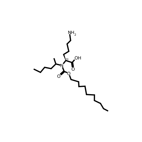 CCCCCCCCCCOC(=O)N(C(C)CCCC)[C@@H](CCCCN)C(=O)O